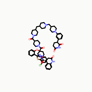 O=C1CCC(c2cccc(N3CCC(CN4CCC(CC5CCN(C(=O)C6CCN(C(=O)C7(Oc8ccccc8-c8nc9cccc(Cl)c9s8)CCN(C(=O)[C@H]8CC(=O)Nc9ccccc98)CC7)CC6)CC5)CC4)CC3)c2)C(=O)N1